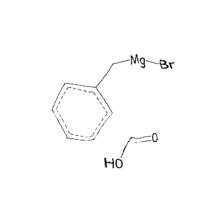 O=CO.[Br][Mg][CH2]c1ccccc1